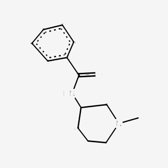 CN1CCCC(NC(=O)c2ccccc2)C1